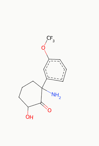 NC1(c2cccc(OC(F)(F)F)c2)CCCC(O)C1=O